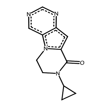 O=C1c2cc3ncncc3n2CCN1C1CC1